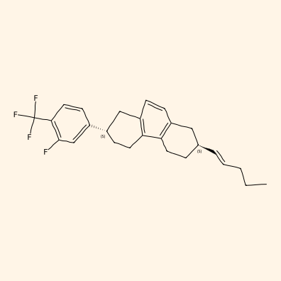 CCCC=C[C@H]1CCc2c(ccc3c2CC[C@H](c2ccc(C(F)(F)F)c(F)c2)C3)C1